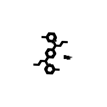 CCCC(c1ccc(C(CCC)[n+]2cccc(C)c2)cc1)[n+]1cccc(C)c1.[Br-].[Br-]